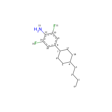 CCCCC1CCC(c2cc(F)c(N)c(F)c2)CC1